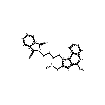 CCOCc1nc2c(N)nc3ccccc3c2n1CCCCN1C(=O)c2ccccc2C1=O